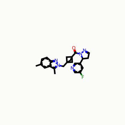 Cc1ccc2nn(CC34CC(C(=O)N5N=CCC5c5cncc(F)c5)(C3)C4)c(C)c2c1